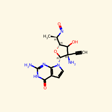 C#C[C@@]1(N)C(O)[C@@H]([C@@H](C)N=O)O[C@H]1n1ccc2c(=O)[nH]c(N)nc21